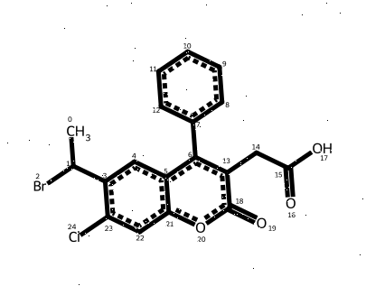 CC(Br)c1cc2c(-c3ccccc3)c(CC(=O)O)c(=O)oc2cc1Cl